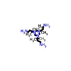 CC(C)(CCN)N1CN(C(C)(C)CCN)CN(C(C)(C)CCN)C1